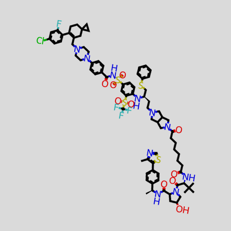 Cc1ncsc1-c1ccc([C@H](C)NC(=O)C2CC(O)CN2C(=O)[C@@H](NC(=O)CCCCCCC(=O)N2CC3CN(CC[C@H](CSc4ccccc4)Nc4ccc(S(=O)(=O)NC(=O)c5ccc(N6CCN(CC7=C(c8ccc(Cl)cc8F)CCC8(CC8)C7)CC6)cc5)cc4S(=O)(=O)C(F)(F)F)CC3C2)C(C)(C)C)cc1